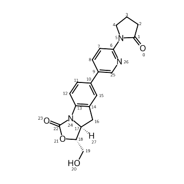 O=C1CCCN1c1ccc(-c2ccc3c(c2)C[C@H]2[C@H](CO)OC(=O)N32)cn1